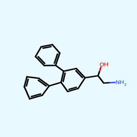 NCC(O)c1ccc(-c2ccccc2)c(-c2ccccc2)c1